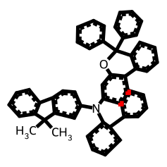 CC1(C)c2ccccc2-c2ccc(N(c3ccc4c(c3)OC(c3ccccc3)(c3ccccc3)c3ccccc3-4)c3ccccc3-c3ccccc3)cc21